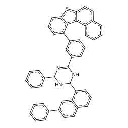 c1ccc(-c2ccc3cccc(C4NC(c5cccc(-c6cccc7sc8ccc9ccccc9c8c67)c5)=NC(c5ccccc5)N4)c3c2)cc1